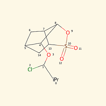 CC(C)C(Cl)OC1C2CC3C1OS(=O)(=O)C3C2